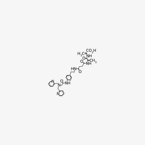 C[C@@H](NC(=O)[C@@H](C)NC(=O)CCC(=O)NCCc1ccc(NC(=O)CN(Cc2ccccn2)Cc2ccccn2)cc1)C(=O)O